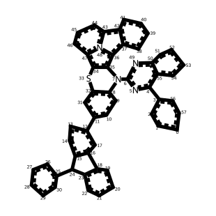 c1ccc(-c2nc(N3c4ccc(-c5ccc6c(c5)-c5ccccc5C6c5ccccc5)cc4Sc4c3c3c5ccccc5c5cccc4n53)nc3ccccc23)cc1